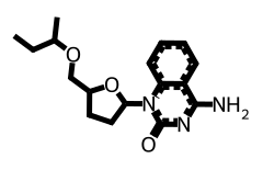 CCC(C)OCC1CCC(n2c(=O)nc(N)c3ccccc32)O1